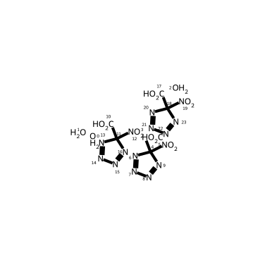 O.O.O.O=C(O)C1([N+](=O)[O-])N=NN=N1.O=C(O)C1([N+](=O)[O-])N=NN=N1.O=C(O)C1([N+](=O)[O-])N=NN=N1